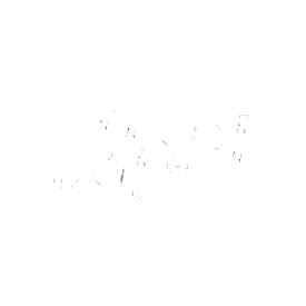 Cc1cc(Br)c2c(c1)C1=NCCN1C(/C=C(\O)c1ccc3[nH]cnc3c1)=N2